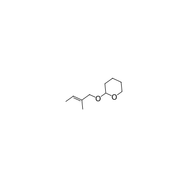 C/C=C(\C)COC1CCCCO1